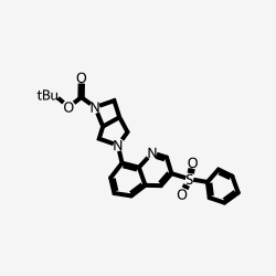 CC(C)(C)OC(=O)N1CC2CN(c3cccc4cc(S(=O)(=O)c5ccccc5)cnc34)CC21